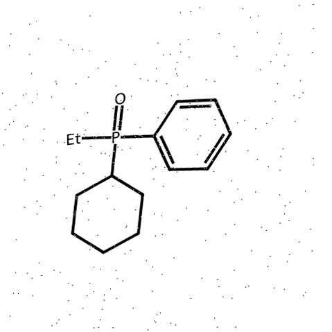 CCP(=O)(c1ccccc1)C1CCCCC1